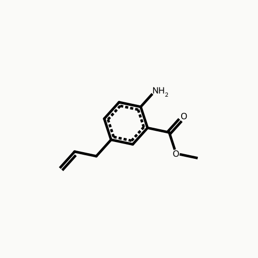 C=CCc1ccc(N)c(C(=O)OC)c1